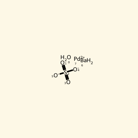 O.O=S(=O)([O-])[O-].[BaH2].[Pd+2]